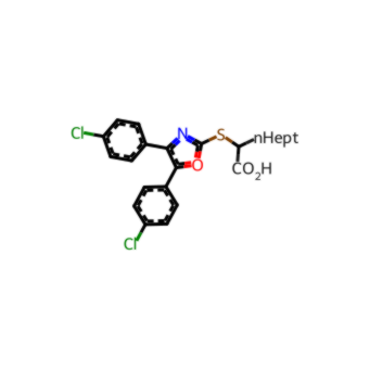 CCCCCCCC(Sc1nc(-c2ccc(Cl)cc2)c(-c2ccc(Cl)cc2)o1)C(=O)O